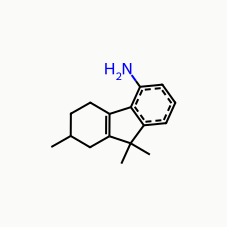 CC1CCC2=C(C1)C(C)(C)c1cccc(N)c12